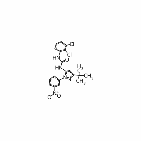 CC(C)(C)c1cc(NC(=O)Nc2cccc(Cl)c2Cl)n(-c2cccc([N+](=O)[O-])c2)n1